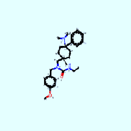 CCNC(=O)N(Cc1ccc(OC)cc1)C[C@]1(C)CC[C@@](c2ccccc2)(N(C)C)CC1